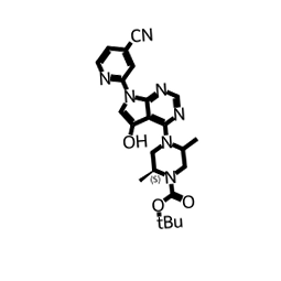 CC1CN(C(=O)OC(C)(C)C)[C@@H](C)CN1c1ncnc2c1c(O)cn2-c1cc(C#N)ccn1